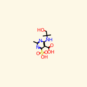 Cc1nc(NC(C)(C)CO)c(C(=O)O)c(S(=O)(=O)O)n1